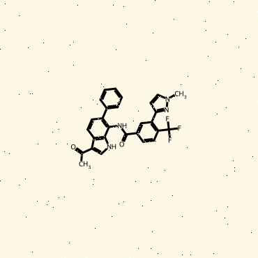 CC(=O)c1c[nH]c2c(NC(=O)c3ccc(C(F)(F)F)c(-c4ccn(C)n4)c3)c(-c3ccccc3)ccc12